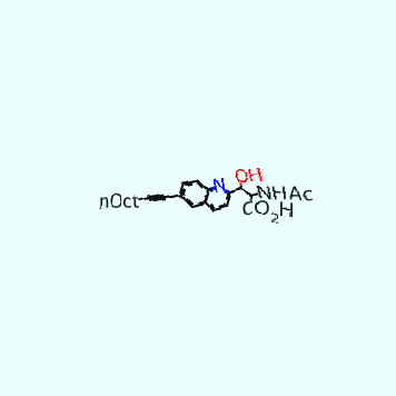 CCCCCCCCC#Cc1ccc2nc(C(O)C(NC(C)=O)C(=O)O)ccc2c1